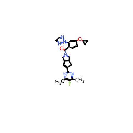 Cc1nc(C2=CC3CN(C(=O)c4ccc(OC5CC5)cc4-n4nccn4)CC3C2)nc(C)c1F